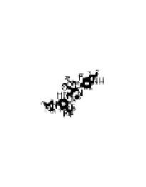 Cc1cn(-c2cc(Nc3ncnc(Oc4ccc5[nH]c(C)cc5c4F)c3C(=O)N(C)C)cc(C(F)(F)F)c2)cn1